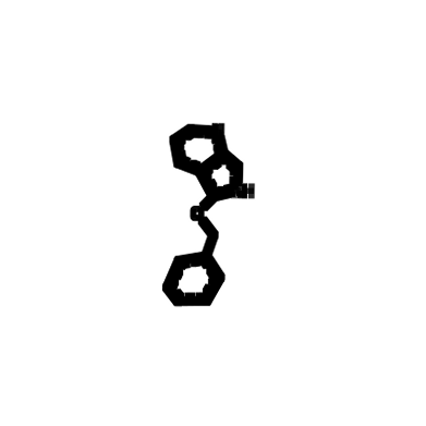 c1ccc(COc2[nH]cc3ncccc23)cc1